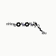 CCCCCCOc1ccc(/N=N/c2ccc(/N=N/c3ncc(OCCCCC(C)CC)s3)cc2)cc1